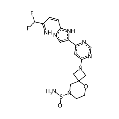 N=C(/C=C\c1ncc(-c2cc(N3CC4(C3)CN([S+](N)[O-])CCO4)ncn2)[nH]1)C(F)F